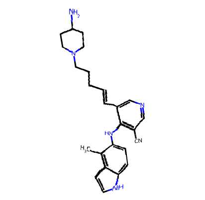 Cc1c(Nc2c(C#N)cncc2C=CCCCN2CCC(N)CC2)ccc2[nH]ccc12